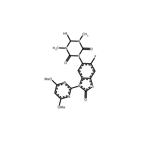 COc1cc(OC)nc(-n2c(=O)sc3cc(F)c(N4C(=O)N(C)C(S)N(C)C4=O)cc32)n1